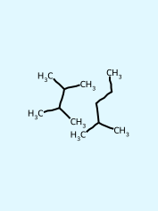 CC(C)C(C)C.CCCC(C)C